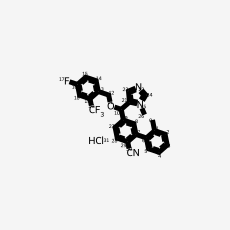 Cc1ccccc1-c1cc(C(OCc2ccc(F)cc2C(F)(F)F)c2cncn2C)ccc1C#N.Cl